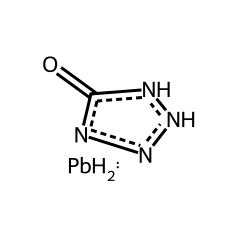 O=c1nn[nH][nH]1.[PbH2]